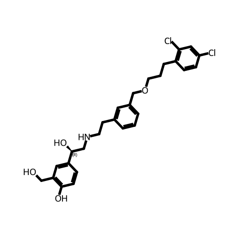 OCc1cc([C@@H](O)CNCCc2cccc(COCCCc3ccc(Cl)cc3Cl)c2)ccc1O